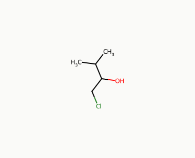 CC(C)C(O)CCl